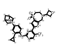 O=S1(=O)CCN(C2COC2)Cc2sc(-c3nc(Nc4ccc(N5CC6CC(C5)N6)cc4C4CC4)ncc3C(F)(F)F)cc21